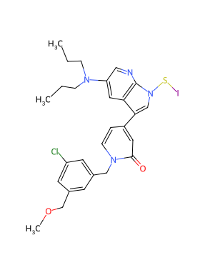 CCCN(CCC)c1cnc2c(c1)c(-c1ccn(Cc3cc(Cl)cc(COC)c3)c(=O)c1)cn2SI